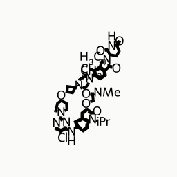 CNC(=O)COc1cc2cc(Nc3nc(N4CCC(O[C@H]5C[C@H](N6CCN(c7ccc8c(c7Cl)[C@@H](C)N(C7CCC(=O)NC7=O)C8=O)[C@H](C)C6)C5)CC4)ncc3Cl)ccc2n(C(C)C)c1=O